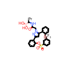 CC(C)C(NC(=O)Cn1nc(-c2ccccc2OS(=O)(=O)c2cccc(C(F)(F)F)c2)cc1-c1ccccc1Br)B(O)O